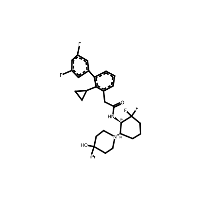 CC(C)C1(O)CCN([C@H]2CCCC(F)(F)[C@@H]2NC(=O)Cc2cccc(-c3cc(F)cc(F)c3)c2C2CC2)CC1